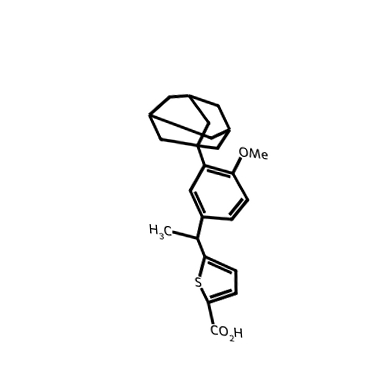 COc1ccc(C(C)c2ccc(C(=O)O)s2)cc1C12CC3CC(CC(C3)C1)C2